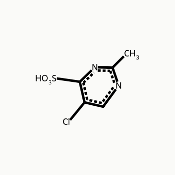 Cc1ncc(Cl)c(S(=O)(=O)O)n1